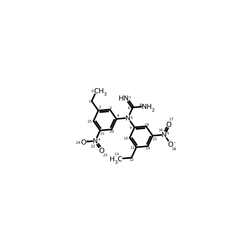 CCc1cc(N(C(=N)N)c2cc(CC)cc([N+](=O)[O-])c2)cc([N+](=O)[O-])c1